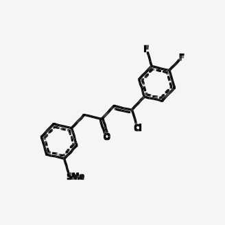 CSc1cccc(CC(=O)C=C(Cl)c2ccc(F)c(F)c2)c1